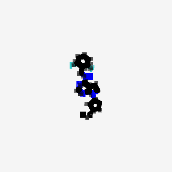 C[C@H]1CC[C@H](n2ccc3c(NCc4c(F)cccc4F)ncnc32)C1